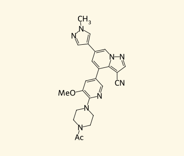 COc1cc(-c2cc(-c3cnn(C)c3)cn3ncc(C#N)c23)cnc1N1CCN(C(C)=O)CC1